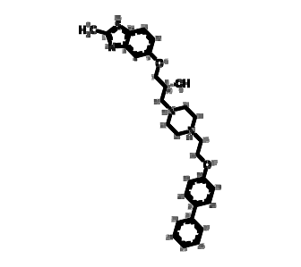 Cc1nc2cc(OC[C@H](O)CN3CCN(CCOc4ccc(-c5ccccc5)cc4)CC3)ccc2s1